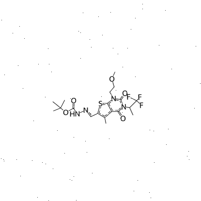 COCCn1c(=O)n(C(C)C(F)(F)F)c(=O)c2c(C)c(C=NNC(=O)OC(C)(C)C)sc21